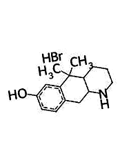 Br.CC1(C)c2cc(O)ccc2CC2NCCCC21